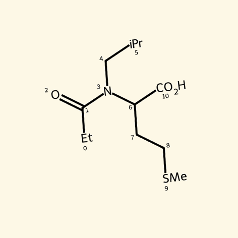 CCC(=O)N(CC(C)C)C(CCSC)C(=O)O